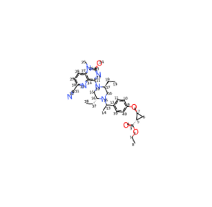 CCOC(=O)[C@H]1C[C@@H]1Oc1ccc(C(C)N2C[C@H](CC)N(c3nc(=O)n(C)c4ccc(C#N)nc34)C[C@H]2CC)cc1